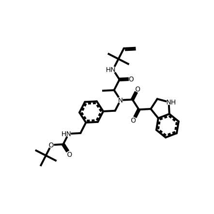 C=CC(C)(C)NC(=O)C(C)N(Cc1cccc(CNC(=O)OC(C)(C)C)c1)C(=O)C(=O)C1CNc2ccccc21